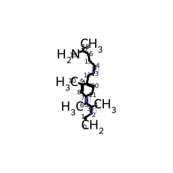 C=C/C=C(C)\C(C)=C1\C=C(C)C(C/C=C\CCC(C)N)=CC1